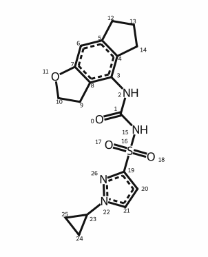 O=C(Nc1c2c(cc3c1CCO3)CCC2)NS(=O)(=O)c1ccn(C2CC2)n1